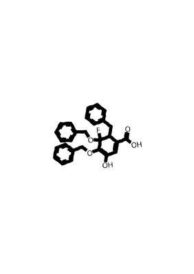 O=C(O)C1=CC(O)=C(OCc2ccccc2)C(F)(OCc2ccccc2)C1Cc1ccccc1